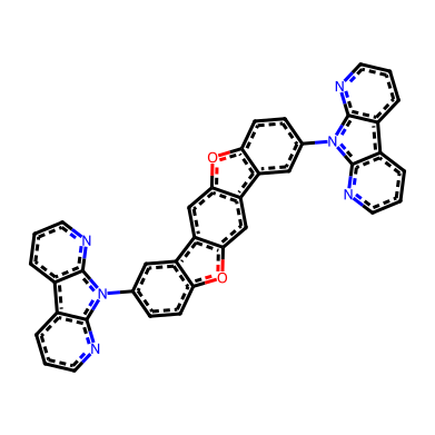 c1cnc2c(c1)c1cccnc1n2-c1ccc2oc3cc4c(cc3c2c1)oc1ccc(-n2c3ncccc3c3cccnc32)cc14